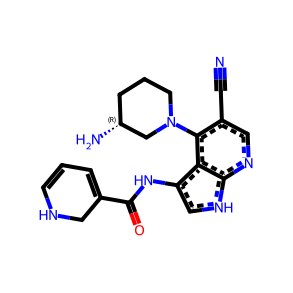 N#Cc1cnc2[nH]cc(NC(=O)C3=CC=CNC3)c2c1N1CCC[C@@H](N)C1